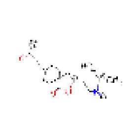 C#C[C@H](C)N(CC)CC[C@H]1CC2(CCC(CCC(=O)CC)CC2)C(=O)O1